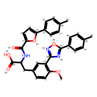 COc1ccc(CC(NC(=O)c2ccc(-c3ccc(C)cc3)o2)C(=O)O)cc1-c1noc(-c2ccc(C)cc2)n1